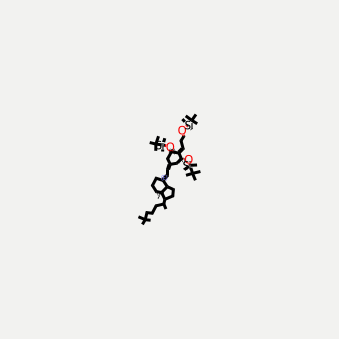 CC(CCCC(C)(C)C)C1CCC2/C(=C/C=C3C[C@@H](O[Si](C)(C)C(C)(C)C)C(=CCCO[Si](C)(C)C(C)(C)C)[C@H](O[Si](C)(C)C(C)(C)C)C3)CCC[C@@]21C